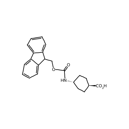 O=C(N[C@H]1CC[C@H](C(=O)O)CC1)OCC1c2ccccc2-c2ccccc21